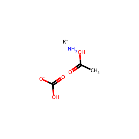 CC(=O)O.N.O=C([O-])O.[K+]